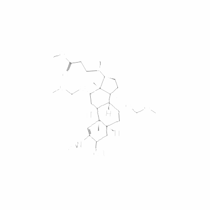 [C-]#[N+]C1=C[C@@]2(C)[C@@H](CC1O)C[C@@H](OCOC)[C@@H]1[C@@H]2C[C@H](OCOC)[C@]2(C)[C@@H]([C@H](C)CCC(=O)OC)CC[C@@H]12